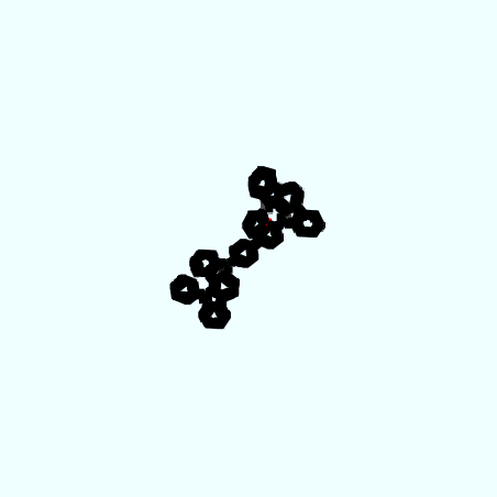 C1=Cc2c(c3ccc4c5ccccc5n(-c5ccccc5)c4c3n2-c2ccc(-c3ccc(-n4c5c(c6c4ccc4c7ccccc7n(-c7ccccc7)c46)C=CCC5)cc3)cc2)CC1